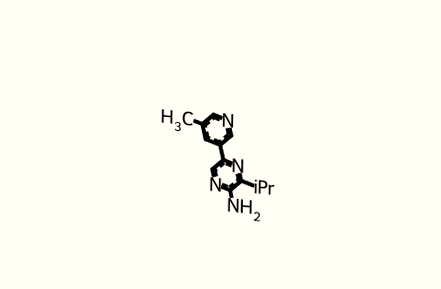 Cc1cncc(-c2cnc(N)c(C(C)C)n2)c1